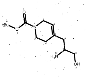 CC(C)(C)OC(=O)N1CC=C(CC(N)CO)CC1